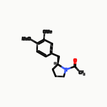 COc1ccc(C[C@@H]2CCCN2C(=O)C(F)(F)F)cc1OC